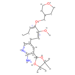 CC/C=C(OCC1CCOCC1)\C(=C/Cc1cnc(N)c(B2OC(C)(C)C(C)(C)O2)c1)OC